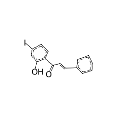 O=C(C=Cc1ccccc1)c1ccc(I)cc1O